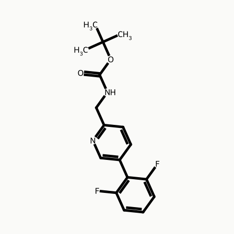 CC(C)(C)OC(=O)NCc1ccc(-c2c(F)cccc2F)cn1